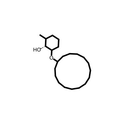 CC1CCCC(OC2CCCCCCCCCCCCCC2)[C@@H]1O